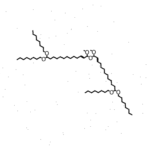 CCCCCCCCOC(CCCCCCCCCC=CC(OC)OC(C=CCCCCCCCCCC(OCCCCCCCC)OCCCCCCCC)OC)OCCCCCCCC